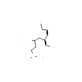 C/C=C(\C=C/CC(C)C)CC(C)CCN(C)CC